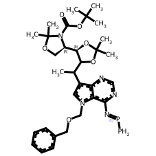 CC(c1cn(COCc2ccccc2)c2c(/N=P/P)ncnc12)C1OC(C)(C)O[C@@H]1[C@H]1COC(C)(C)N1C(=O)OC(C)(C)C